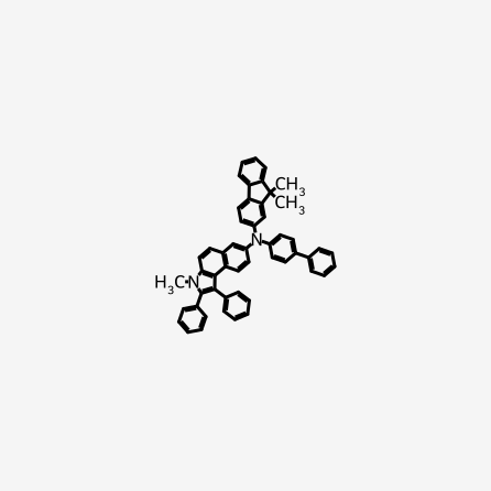 Cn1c(-c2ccccc2)c(-c2ccccc2)c2c3ccc(N(c4ccc(-c5ccccc5)cc4)c4ccc5c(c4)C(C)(C)c4ccccc4-5)cc3ccc21